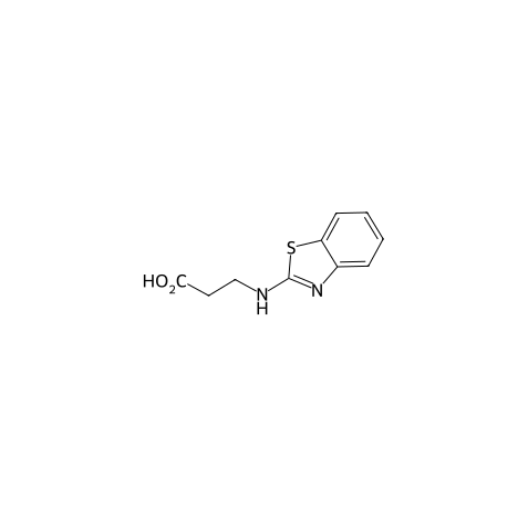 O=C(O)CCNc1nc2ccccc2s1